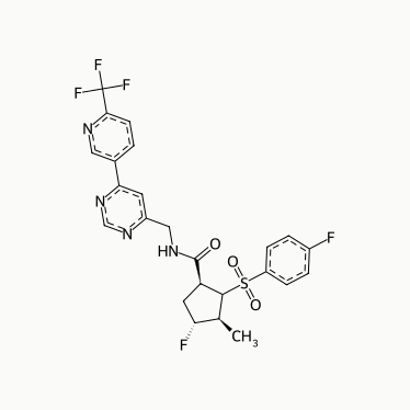 C[C@@H]1C(S(=O)(=O)c2ccc(F)cc2)[C@H](C(=O)NCc2cc(-c3ccc(C(F)(F)F)nc3)ncn2)C[C@H]1F